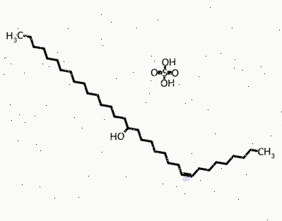 CCCCCCCC/C=C\CCCCCCCC(O)CCCCCCCCCCCCCCCC.O=S(=O)(O)O